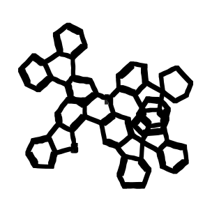 c1ccc2c(c1)-c1c(N(c3ccc4c5ccccc5c5ccccc5c4c3)c3cc4c(cc3-c3cccc5c3sc3ccccc35)-c3ccccc3C43c4ccccc4-c4ccccc43)cccc1C21CCCCC1